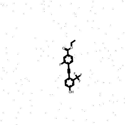 CCOC(=O)c1ccc(C#Cc2ccc(O)cc2C(F)(F)F)c(F)c1